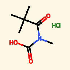 CN(C(=O)O)C(=O)C(C)(C)C.Cl